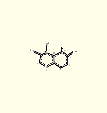 Cn1c(=O)cnc2ccc(=O)[nH]c21